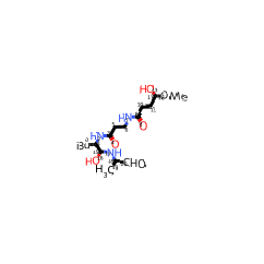 CCC(C)C(NC(=O)CCNC(=O)CCC(O)OC)C(O)NC(C)C=O